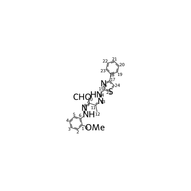 COc1ccccc1N/N=C(C=O)\C(C)=N/Nc1nc(-c2ccccc2)cs1